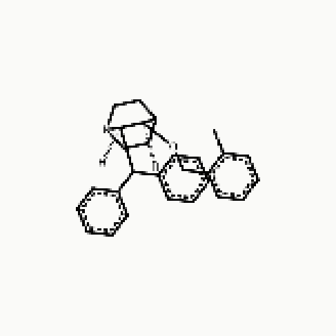 Cc1ccccc1CO[C@@H]1C2CCN(CC2)[C@@H]1C(c1ccccc1)c1ccccc1